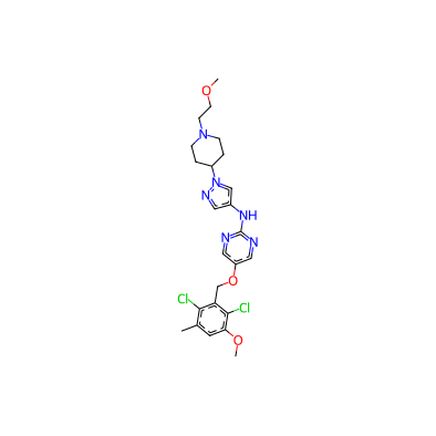 COCCN1CCC(n2cc(Nc3ncc(OCc4c(Cl)c(C)cc(OC)c4Cl)cn3)cn2)CC1